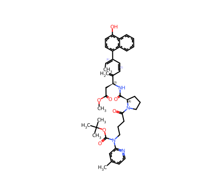 C=C(/C=C\C(=C/C)c1ccc(O)c2ccccc12)[C@H](CC(=O)OC)NC(=O)[C@H]1CCCN1C(=O)CCCN(C(=O)OC(C)(C)C)c1cc(C)ccn1